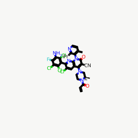 C=CC(=O)N1CCN(c2c(C#N)c(=O)n(-c3c(C)ccnc3C(C)C)c3nc(-c4c(Cl)c(N)c(F)c(Cl)c4Cl)c(Cl)cc23)C[C@H]1C